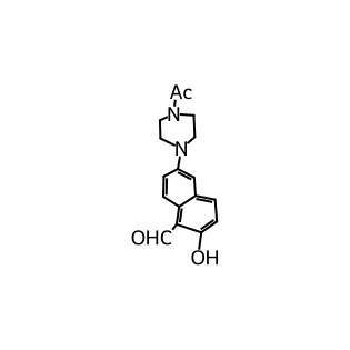 CC(=O)N1CCN(c2ccc3c(C=O)c(O)ccc3c2)CC1